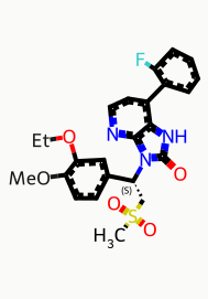 CCOc1cc([C@@H](CS(C)(=O)=O)n2c(=O)[nH]c3c(-c4ccccc4F)ccnc32)ccc1OC